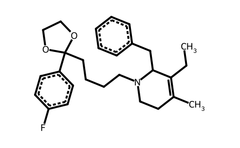 CCC1=C(C)CCN(CCCCC2(c3ccc(F)cc3)OCCO2)C1Cc1ccccc1